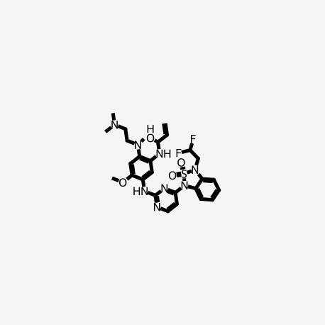 C=CC(O)Nc1cc(Nc2nccc(N3c4ccccc4N(CC(F)F)S3(=O)=O)n2)c(OC)cc1N(C)CCN(C)C